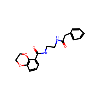 O=C(Cc1ccccc1)NCCNC(=O)c1cccc2c1OCCO2